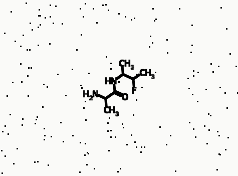 CC(N)C(=O)NC(C)C(C)F